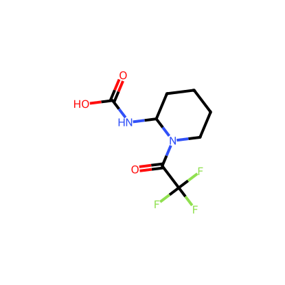 O=C(O)NC1CCCCN1C(=O)C(F)(F)F